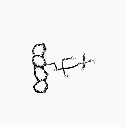 CC(CO)(COS(C)(=O)=O)NCc1c2ccccc2cc2cc3ccccc3cc12